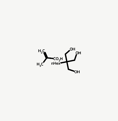 C=C(C)C(=O)O.CCCCCCC(CO)(CO)CO